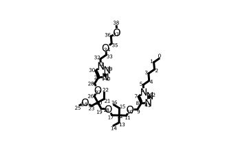 CCCCCCn1cc(COCC(CC)(CC)COCC(CC)(COC)COCc2cn(CCOCCOC)nn2)nn1